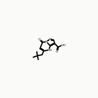 CC(C)(C)Cc1cc(=O)n2ncc(C(=O)O)c2[nH]1